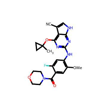 COc1cc(C(=O)N2CCOCC2)c(F)cc1Nc1nc(OC2(C)CC2)c2c(C#N)c[nH]c2n1